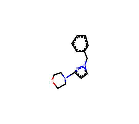 c1ccc(Cn2ccc(N3CCOCC3)n2)cc1